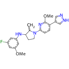 C=C1C(Nc2cc(F)cc(OC)c2)CCN1c1ccc(-c2cn[nH]c2)c(OC)n1